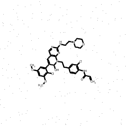 C=CC(=O)Nc1ccc(CCN2c3nc(NCCN4CCOCC4)ncc3C=C(c3cc(OC)cc(OC)c3Cl)C2O)cc1Cl